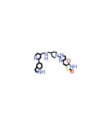 O=C1NC(=O)/C(=C\c2ccnc(N3CCC(CNCc4ccnc(-c5ccc6[nH]ccc6c5)c4)CC3)n2)S1